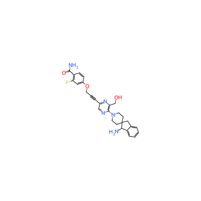 NC(=O)c1ccc(OCC#Cc2cnc(N3CCC4(CC3)Cc3ccccc3[C@H]4N)c(CO)n2)cc1F